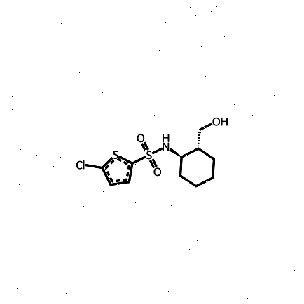 O=S(=O)(N[C@@H]1CCCC[C@H]1CO)c1ccc(Cl)s1